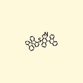 c1ccc2c(c1)-c1ccccc1C21c2ccccc2-c2c(Sc3c4ccccc4c(-c4cc5ccccc5c5ccccc45)c4cnccc34)cccc21